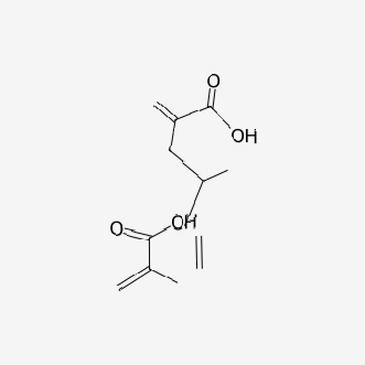 C=C.C=C(C)C(=O)O.C=C(CC(C)C)C(=O)O